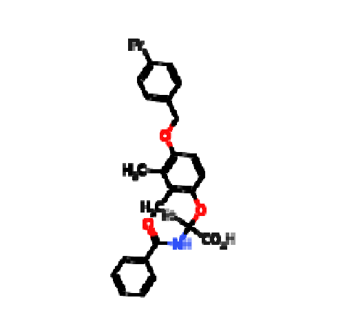 CCC(NC(=O)c1ccccc1)(Oc1ccc(OCc2ccc(C(C)C)cc2)c(C)c1C)C(=O)O